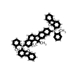 Cc1ccccc1N(c1ccc2cc3c(cc2c1)C(C)(C)c1c-3ccc2cc(N(c3ccccc3C)c3cccc4c3oc3ccccc34)ccc12)c1cccc2c1oc1ccccc12